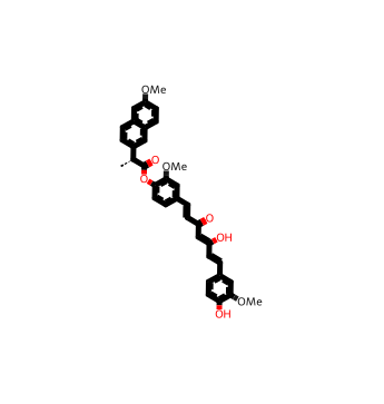 COc1ccc2cc([C@@H](C)C(=O)Oc3ccc(/C=C/C(=O)/C=C(O)/C=C/c4ccc(O)c(OC)c4)cc3OC)ccc2c1